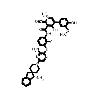 COc1cc(C2=CN(C)C(=C=O)C(C(=O)Nc3cccc(Sc4ncc(N5CCC6(CC5)Cc5ccccc5[C@H]6N)nc4N)c3Cl)=C2O)ccc1O